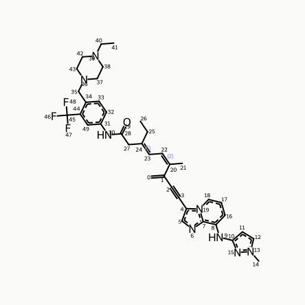 C=C(C#Cc1cnc2c(Nc3ccn(C)n3)cccn12)/C(C)=C\C=C(/CC)CC(=O)Nc1ccc(CN2CCN(CC)CC2)c(C(F)(F)F)c1